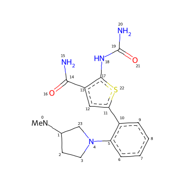 CNC1CCN(c2ccccc2-c2cc(C(N)=O)c(NC(N)=O)s2)C1